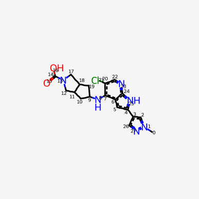 Cn1cc(-c2cc3c(NC4CC5CN(C(=O)O)CC5C4)c(Cl)cnc3[nH]2)cn1